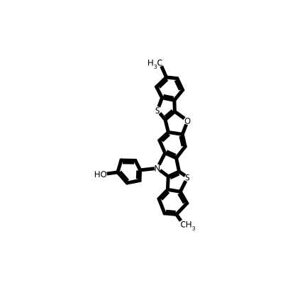 Cc1ccc2c(c1)sc1c3cc4c(cc3oc21)c1sc2cc(C)ccc2c1n4-c1ccc(O)cc1